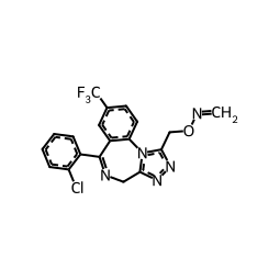 C=NOCc1nnc2n1-c1ccc(C(F)(F)F)cc1C(c1ccccc1Cl)=NC2